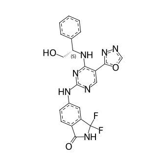 O=C1NC(F)(F)c2cc(Nc3ncc(-c4nnco4)c(N[C@H](CO)c4ccccc4)n3)ccc21